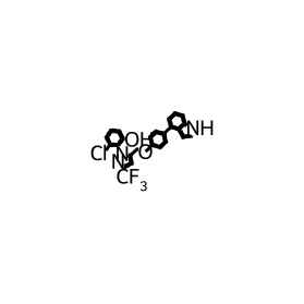 Oc1cccc(Cl)c1-n1nc(C(F)(F)F)cc1COc1ccc(-c2cccc3[nH]ccc23)cc1